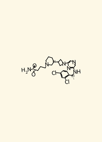 C[C@@H](Nc1cncc(N2CC([C@@H]3CCCN(CCCS(N)(=O)=O)C3)C2)n1)c1ccc(Cl)cc1Cl